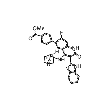 COC(=O)c1ccc(-c2cc3c(N[C@H]4CN5CCC4CC5)c(-c4nc5ccccc5[nH]4)c(=O)[nH]c3cc2F)cc1